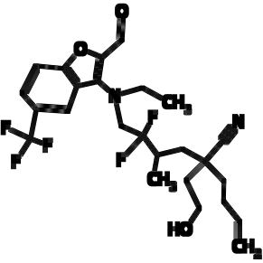 C=CCCC(C#N)(CCO)CC(C)C(F)(F)CN(CC)c1c(C=O)oc2ccc(C(F)(F)F)cc12